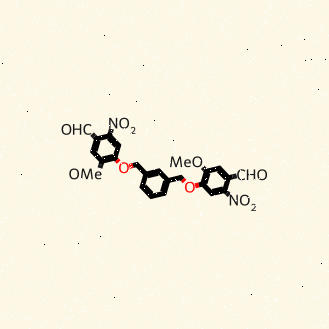 COc1cc(C=O)c([N+](=O)[O-])cc1OCc1cccc(COc2cc([N+](=O)[O-])c(C=O)cc2OC)c1